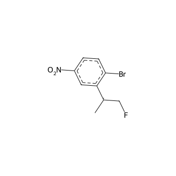 C[C](CF)c1cc([N+](=O)[O-])ccc1Br